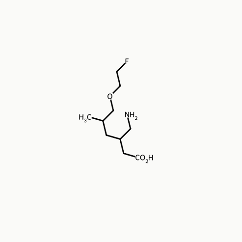 CC(COCCF)CC(CN)CC(=O)O